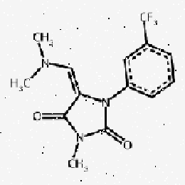 CN(C)C=C1C(=O)N(C)C(=O)N1c1cccc(C(F)(F)F)c1